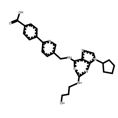 O=C(O)c1ccc(-c2ccc(CNc3nc(NCCCO)nc4c3ncn4C3CCCC3)cn2)cc1